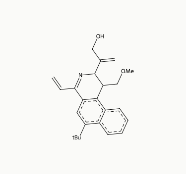 C=CC1=NC(C(=C)CO)C(COC)c2c1cc(C(C)(C)C)c1ccccc21